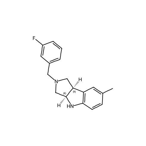 Cc1ccc2c(c1)[C@@H]1CN(Cc3cccc(F)c3)C[C@@H]1N2